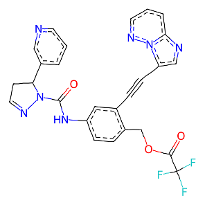 O=C(Nc1ccc(COC(=O)C(F)(F)F)c(C#Cc2cnc3cccnn23)c1)N1N=CCC1c1cccnc1